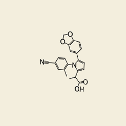 Cc1cc(C#N)ccc1-n1c(-c2ccc3c(c2)OCO3)ccc1C(C)C(=O)O